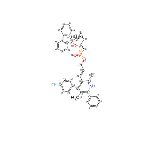 CCc1nc(-c2ccccc2)c(C)c(-c2ccc(F)cc2)c1/C=C/CO[PH](=O)C[C@H](CC(=O)O)O[Si](c1ccccc1)(c1ccccc1)C(C)(C)C